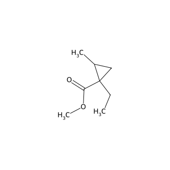 CCC1(C(=O)OC)CC1C